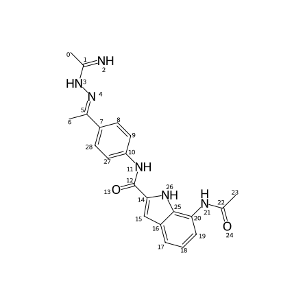 CC(=N)N/N=C(\C)c1ccc(NC(=O)c2cc3cccc(NC(C)=O)c3[nH]2)cc1